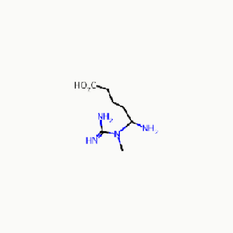 CN(C(=N)N)C(N)CCCC(=O)O